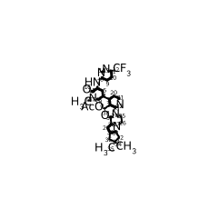 CC(=O)OCc1c(-c2cc(Nc3ccc(C(F)(F)F)nn3)c(=O)n(C)c2)ccnc1N1CCn2c(cc3c2CC(C)(C)C3)C1=O